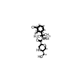 CC(C)(NC(=O)[C@@H]1CN[C@H](CO)CO1)c1cccc(Cl)c1F.Cl